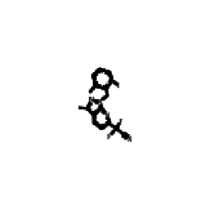 Cc1cccc(I)c1Cn1nc(C)c2ccc(C(F)(F)C#N)nc21